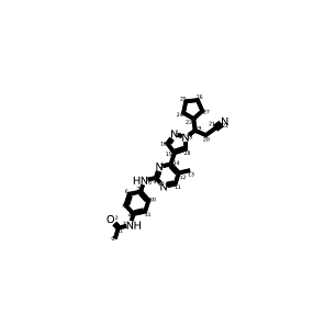 CC(=O)Nc1ccc(Nc2ncc(C)c(-c3cnn(C(CC#N)C4CCCC4)c3)n2)cc1